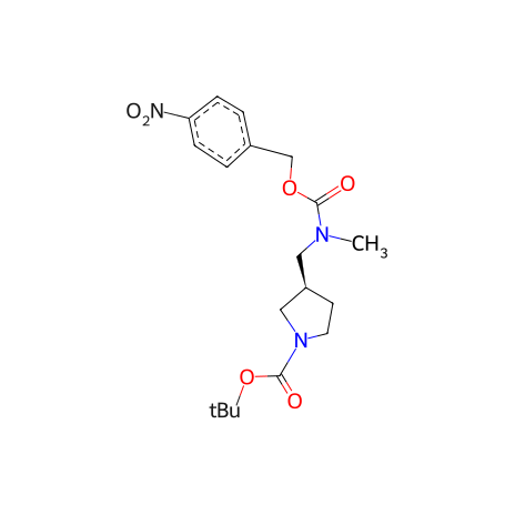 CN(C[C@H]1CCN(C(=O)OC(C)(C)C)C1)C(=O)OCc1ccc([N+](=O)[O-])cc1